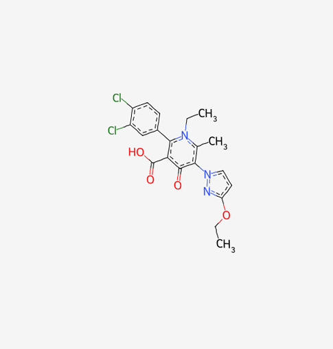 CCOc1ccn(-c2c(C)n(CC)c(-c3ccc(Cl)c(Cl)c3)c(C(=O)O)c2=O)n1